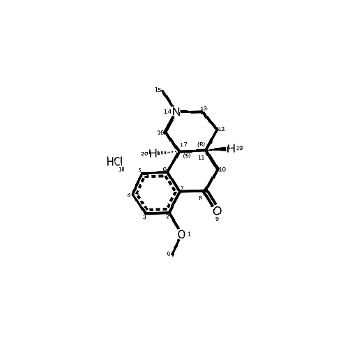 COc1cccc2c1C(=O)C[C@H]1CCN(C)C[C@H]21.Cl